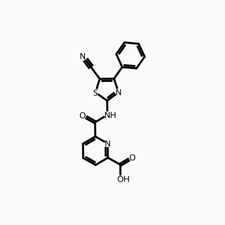 N#Cc1sc(NC(=O)c2cccc(C(=O)O)n2)nc1-c1ccccc1